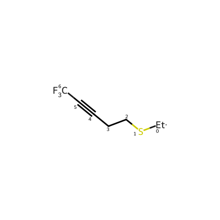 C[CH]SCCC#CC(F)(F)F